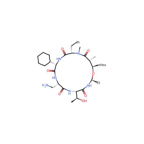 CCCCCC[C@H]1O[C@@H](CC)NC(=O)[C@H]([C@H](C)O)NC(=O)[C@H](CN)NC(=O)[C@H](C2CCCCC2)NC(=O)[C@H](CC(C)C)N(C)C(=O)[C@@H]1C